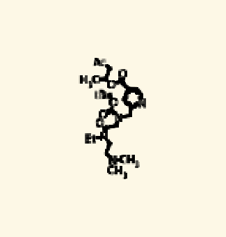 CCN(CCN(C)C)C(=O)CN(Cc1cc(C(=O)OC(C)CC(C)=O)ccn1)C(=O)OC(C)(C)C